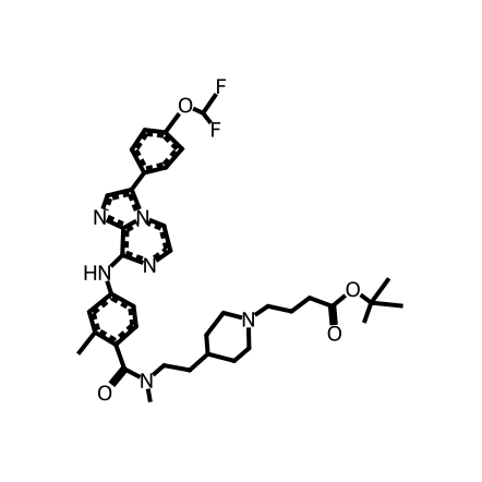 Cc1cc(Nc2nccn3c(-c4ccc(OC(F)F)cc4)cnc23)ccc1C(=O)N(C)CCC1CCN(CCCC(=O)OC(C)(C)C)CC1